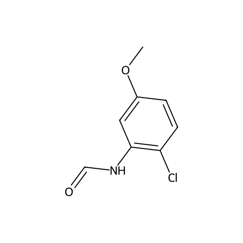 COc1ccc(Cl)c(NC=O)c1